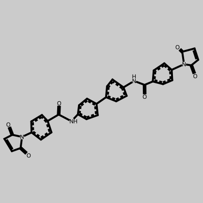 O=C(Nc1ccc(-c2ccc(NC(=O)c3ccc(N4C(=O)C=CC4=O)cc3)cc2)cc1)c1ccc(N2C(=O)C=CC2=O)cc1